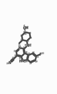 CC1C[C@H](O)CCC1Nc1ncc(C#N)c2[nH]c3ccc(F)cc3c12